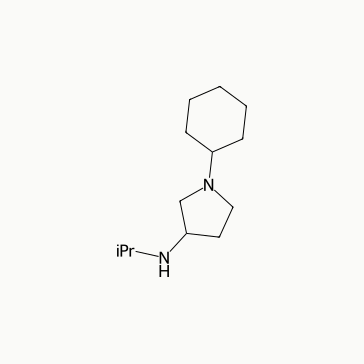 CC(C)NC1CCN(C2CCCCC2)C1